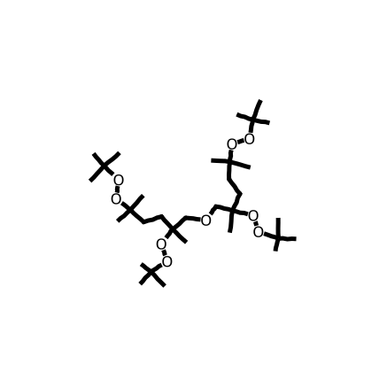 CC(C)(C)OOC(C)(C)CCC(C)(COCC(C)(CCC(C)(C)OOC(C)(C)C)OOC(C)(C)C)OOC(C)(C)C